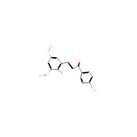 CCOc1cc(C=CC(=O)c2ccc(O)cc2)c(C)c(OCC)c1